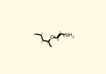 CCCC(C)OC=C[SiH3]